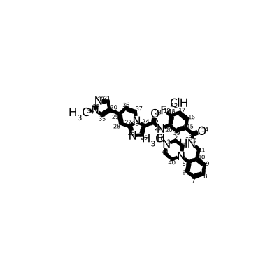 CN1CCN(c2ccccc2CNC(=O)c2ccc(F)c(NC(=O)c3cnc4cc(-c5cnn(C)c5)ccn34)c2)CC1.Cl